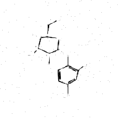 Cc1cc(Br)ccc1O[C@H]1O[C@H](CO)[C@@H](O)[C@H](O)[C@@H]1F